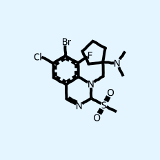 CN(C)C1(CN2c3c(cc(Cl)c(Br)c3F)C=NC2S(C)(=O)=O)CCCC1